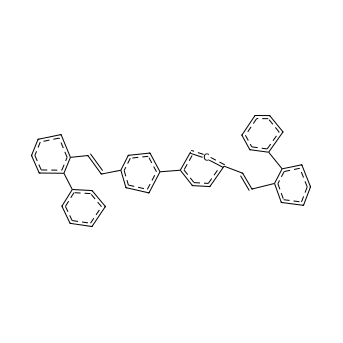 C(=Cc1ccccc1-c1ccccc1)c1ccc(-c2ccc(C=Cc3ccccc3-c3ccccc3)cc2)cc1